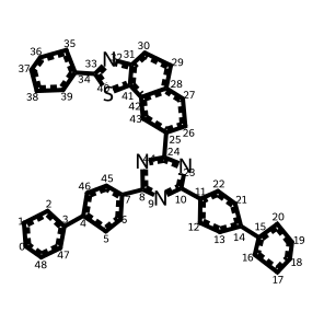 c1ccc(-c2ccc(-c3nc(-c4ccc(-c5ccccc5)cc4)nc(-c4ccc5ccc6nc(-c7ccccc7)sc6c5c4)n3)cc2)cc1